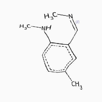 C/N=C\c1cc(C)ccc1NC